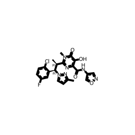 Cc1ccn([C@@H](c2cc(F)ccc2Cl)[C@@H](C)c2nc(C(=O)Nc3cnoc3)c(O)c(=O)n2C)n1